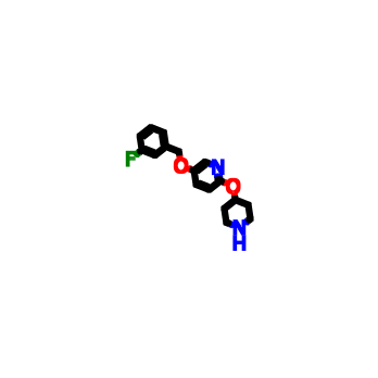 Fc1cccc(COc2ccc(OC3CCNCC3)nc2)c1